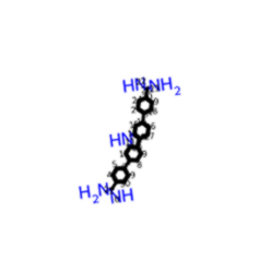 N=C(N)c1ccc(-c2ccc3c(c2)[nH]c2cc(-c4ccc(C(=N)N)cc4)ccc23)cc1